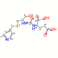 Cc1cc(CSCC(C=O)NC(=O)NC(CCC(=O)O)C(=O)O)ccn1